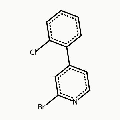 Clc1ccccc1-c1[c]c(Br)ncc1